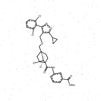 COC(=O)c1cccc(NC(=O)C23CCC(COCc4c(-c5c(Cl)cccc5Cl)noc4C4CC4)(CC2)C[C@@H]3Cl)c1